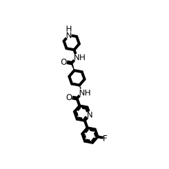 O=C(N[C@H]1CC[C@H](C(=O)NC2CCNCC2)CC1)c1ccc(-c2cccc(F)c2)nc1